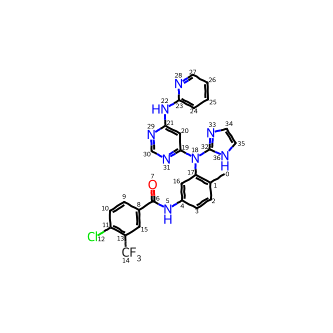 Cc1ccc(NC(=O)c2ccc(Cl)c(C(F)(F)F)c2)cc1N(c1cc(Nc2ccccn2)ncn1)c1ncc[nH]1